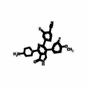 COc1ccc(-c2c(-c3ccc(C#N)c(F)c3)nc(N3CCC(N)CC3)c3c2CNC3=O)cc1F